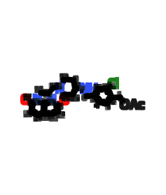 CC(=O)OCc1ccc(CNC2CCN(C[C@@H]3Cn4c(=O)ccc5ccc(=O)n3c54)CC2)cc1Cl